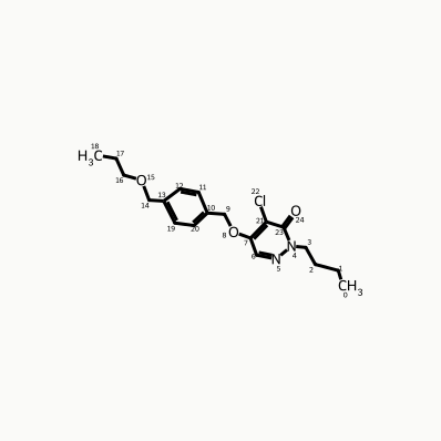 CCCCn1ncc(OCc2ccc(COCCC)cc2)c(Cl)c1=O